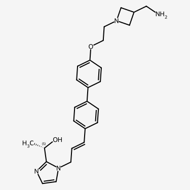 C[C@H](O)c1nccn1CC=Cc1ccc(-c2ccc(OCCN3CC(CN)C3)cc2)cc1